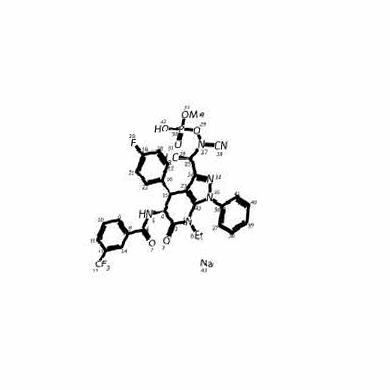 CCN1C(=O)[C@@H](NC(=O)c2cccc(C(F)(F)F)c2)[C@@H](c2ccc(F)cc2)c2c([C@@H](C)N(C#N)OP(=O)(O)OC)nn(-c3ccccc3)c21.[Na]